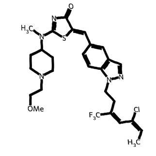 C/C=C(Cl)\C=C(/CCn1ncc2cc(/C=C3\SC(N(C)C4CCN(CCOC)CC4)=NC3=O)ccc21)C(F)(F)F